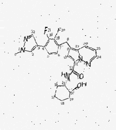 Cn1cc(-c2ccc(Cc3cc(C(=O)N[C@H]4CCCC[C@@H]4O)n4ncccc34)c(F)c2F)cn1